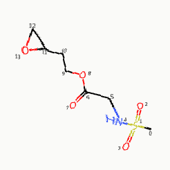 CS(=O)(=O)NCC(=O)OCCC1CO1